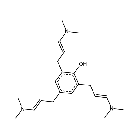 CN(C)C=CCc1cc(CC=CN(C)C)c(O)c(CC=CN(C)C)c1